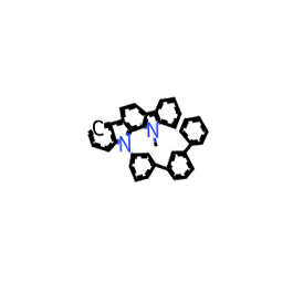 Cn1c2ccccc2c2ccc3c4ccccc4n(-c4cccc(-c5cccc(-c6ccccc6)c5)c4)c3c21